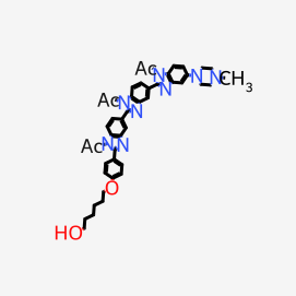 CC(=O)n1c(-c2ccc(OCCCCCCO)cc2)nc2cc(-c3nc4cc(-c5nc6cc(N7CCN(C)CC7)ccc6n5C(C)=O)ccc4n3C(C)=O)ccc21